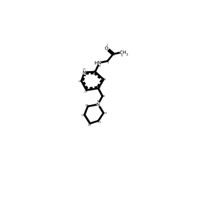 CC(=O)CNc1cc(CN2CCCCC2)ccn1